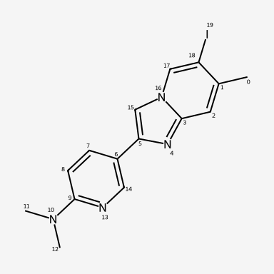 Cc1cc2nc(-c3ccc(N(C)C)nc3)cn2cc1I